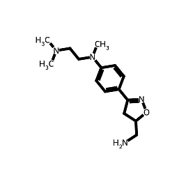 CN(C)CCN(C)c1ccc(C2=NOC(CN)C2)cc1